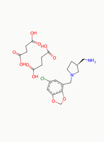 NC[C@@H]1CCN(Cc2cc(Cl)cc3c2OCO3)C1.O=C(O)CCC(=O)O.O=C(O)CCC(=O)O